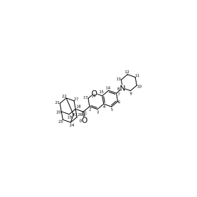 O=C(C1=Cc2ccc(N3CCCCC3)cc2OC1)C12CC3CC(CC(C3)C1)C2